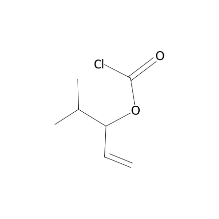 C=CC(OC(=O)Cl)C(C)C